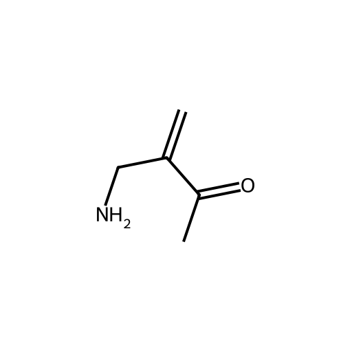 C=C(CN)C(C)=O